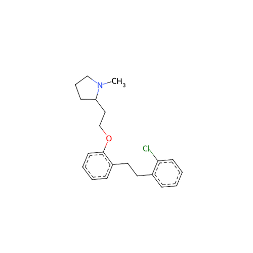 CN1CCCC1CCOc1ccccc1CCc1ccccc1Cl